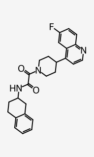 O=C(NC1CCc2ccccc2C1)C(=O)N1CCC(c2ccnc3ccc(F)cc23)CC1